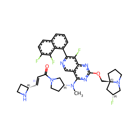 CN(c1nc(OC[C@@]23CCCN2C[C@H](F)C3)nc2c(F)c(-c3cccc4ccc(F)c(F)c34)ncc12)[C@@H]1CCN(C(=O)/C=C/[C@H]2CCN2)C1